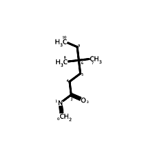 C=NC(=O)CCC(C)(C)CC